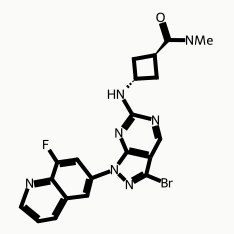 CNC(=O)[C@H]1C[C@H](Nc2ncc3c(Br)nn(-c4cc(F)c5ncccc5c4)c3n2)C1